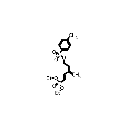 C=C(C=CP(=O)(OCC)OCC)CCOS(=O)(=O)c1ccc(C)cc1